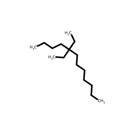 CCCCCCCC(CC)(CC)CCCC